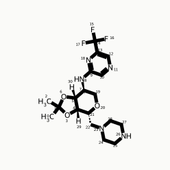 CC1(C)O[C@@H]2[C@H](O1)[C@@H](Nc1cncc(C(F)(F)F)n1)CO[C@@H]2CN1CCNCC1